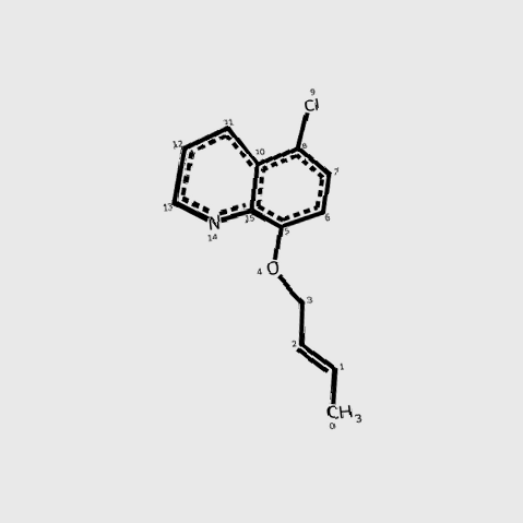 C/C=C/COc1ccc(Cl)c2cccnc12